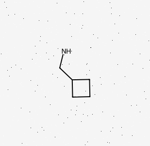 [NH]CC1CCC1